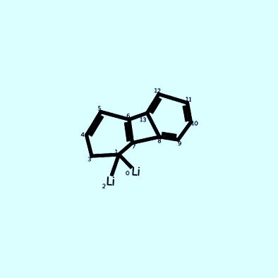 [Li][C]1([Li])CC=CC2=C1c1ccccc12